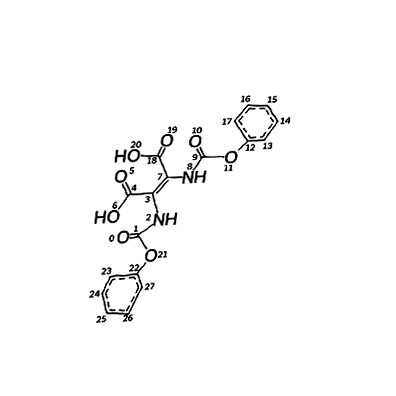 O=C(N/C(C(=O)O)=C(\NC(=O)Oc1ccccc1)C(=O)O)Oc1ccccc1